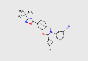 CC(C)(C)c1noc(C23CCC(CN(C(=O)C45CC(F)(C4)C5)c4cccc(C#N)c4)(CC2)CC3)n1